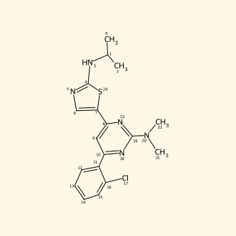 CC(C)Nc1ncc(-c2cc(-c3ccccc3Cl)nc(N(C)C)n2)s1